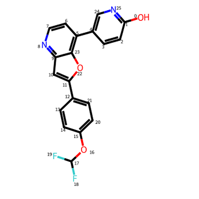 Oc1ccc(-c2ccnc3cc(-c4ccc(OC(F)F)cc4)oc23)cn1